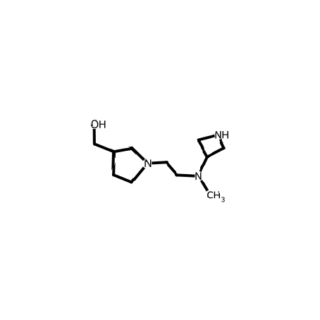 CN(CCN1CCC(CO)C1)C1CNC1